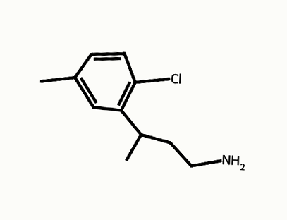 Cc1ccc(Cl)c(C(C)CCN)c1